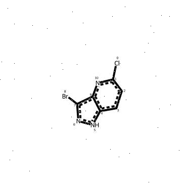 Clc1ccc2[nH]nc(Br)c2n1